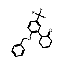 O=C1CCCCC1c1cc(C(F)(F)F)ccc1OCc1ccccc1